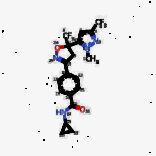 Cn1nc(C(F)(F)F)cc1C1(C(F)(F)F)CC(c2ccc(C(=O)NC3CC3)cc2)=NO1